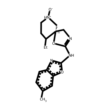 CCC1CC[NH+]([O-])C[C@@]12CN=C(Nc1nc3ccc(C)cc3o1)O2